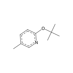 Cc1ccc(OC(C)(C)C)nc1